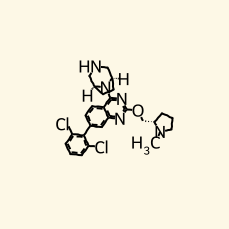 CN1CCC[C@H]1COc1nc(N2[C@@H]3CC[C@H]2CNC3)c2ccc(-c3c(Cl)cccc3Cl)cc2n1